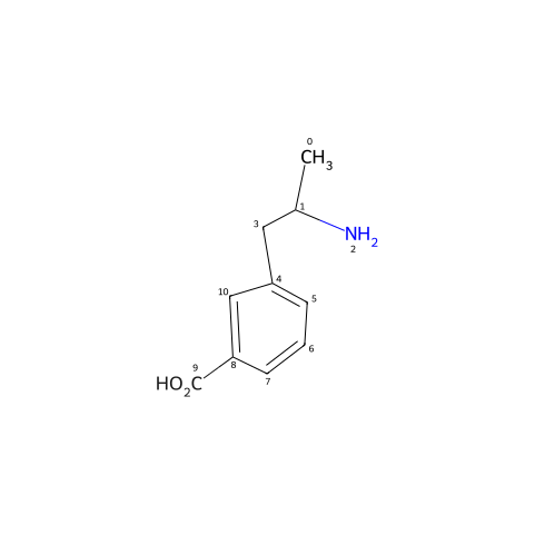 CC(N)Cc1cccc(C(=O)O)c1